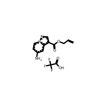 C=CCOC(=O)c1cnn2ccc(N)cc12.O=C(O)C(F)(F)F